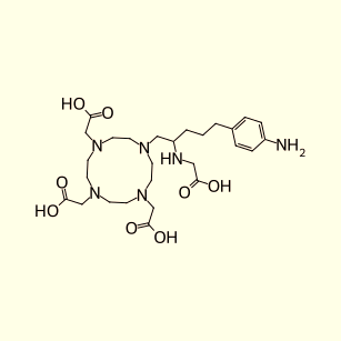 Nc1ccc(CCCC(CN2CCN(CC(=O)O)CCN(CC(=O)O)CCN(CC(=O)O)CC2)NCC(=O)O)cc1